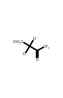 CCOC(=O)C(Cl)(Cl)C(=O)C(F)(F)F